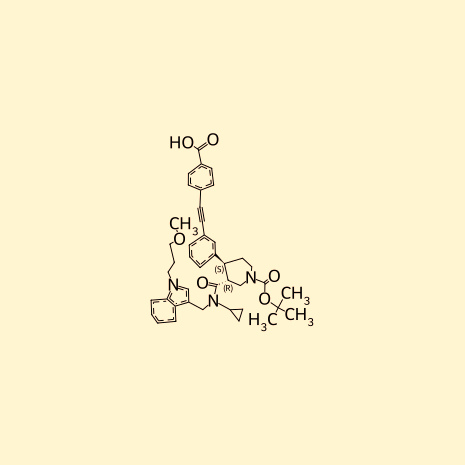 COCCCn1cc(CN(C(=O)[C@H]2CN(C(=O)OC(C)(C)C)CC[C@@H]2c2cccc(C#Cc3ccc(C(=O)O)cc3)c2)C2CC2)c2ccccc21